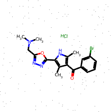 Cc1[nH]c(-c2nnc(CN(C)C)o2)c(C)c1C(=O)c1cccc(Br)c1.Cl